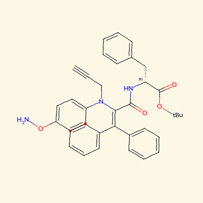 C#CCN(C(C(=O)N[C@H](Cc1ccccc1)C(=O)OC(C)(C)C)=C(c1ccccc1)c1ccccc1)c1ccc(ON)cc1